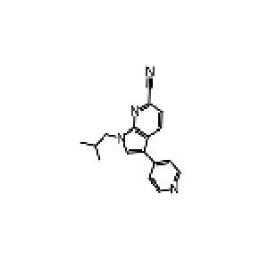 CC(C)Cn1cc(-c2ccncc2)c2ccc(C#N)nc21